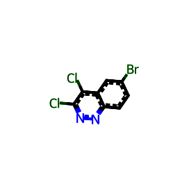 Clc1nnc2ccc(Br)cc2c1Cl